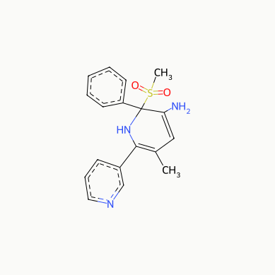 CC1=C(c2cccnc2)NC(c2ccccc2)(S(C)(=O)=O)C(N)=C1